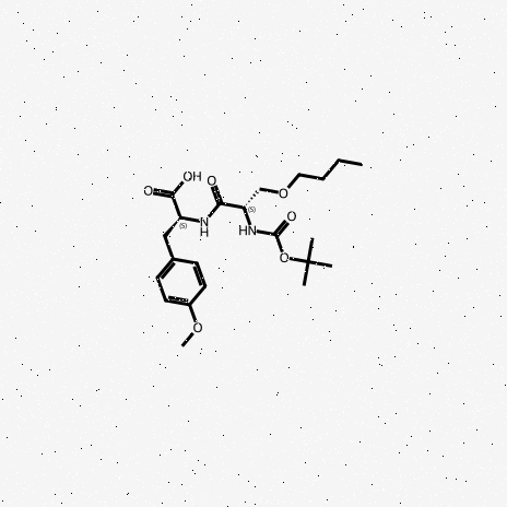 CCCCOC[C@H](NC(=O)OC(C)(C)C)C(=O)N[C@@H](Cc1ccc(OC)cc1)C(=O)O